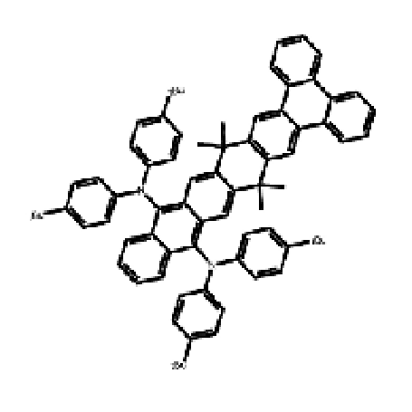 CC(C)(C)c1ccc(N(c2ccc(C(C)(C)C)cc2)c2c3ccccc3c(N(c3ccc(C(C)(C)C)cc3)c3ccc(C(C)(C)C)cc3)c3cc4c(cc23)C(C)(C)c2cc3c5ccccc5c5ccccc5c3cc2C4(C)C)cc1